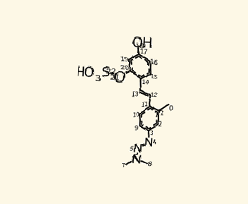 Cc1cc(N=NN(C)C)ccc1C=Cc1ccc(O)cc1OS(=O)(=O)O